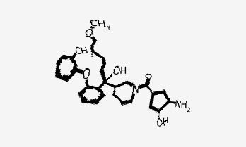 COCCCC[C@@](O)(c1ccccc1Oc1ccccc1C)[C@@H]1CCCN(C(=O)[C@H]2C[C@@H](N)[C@H](O)C2)C1